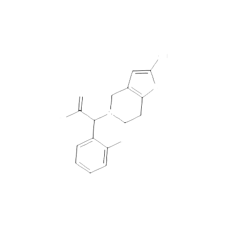 CCC(=O)C(c1ccccc1F)N1CCc2sc(O)cc2C1